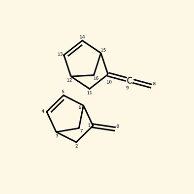 C=C1CC2C=CC1C2.C=C=C1CC2C=CC1C2